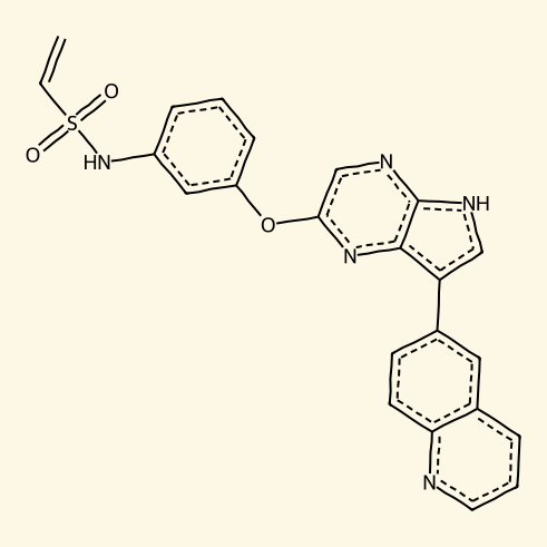 C=CS(=O)(=O)Nc1cccc(Oc2cnc3[nH]cc(-c4ccc5ncccc5c4)c3n2)c1